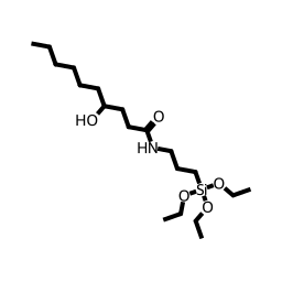 CCCCCCC(O)CCC(=O)NCCC[Si](OCC)(OCC)OCC